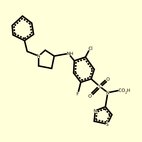 O=C(O)N(c1cscn1)S(=O)(=O)c1cc(Cl)c(NC2CCN(Cc3ccccc3)C2)cc1F